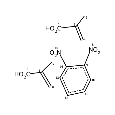 C=C(C)C(=O)O.C=C(C)C(=O)O.O=[N+]([O-])c1ccccc1[N+](=O)[O-]